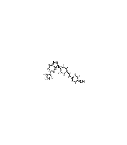 N#Cc1ccc(COc2ccc(-n3cnc4ccc(C(=O)NO)cc43)cc2)cc1